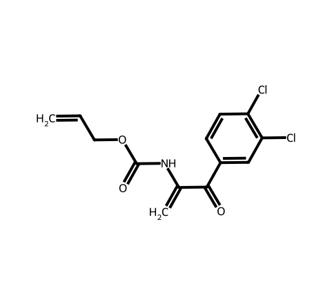 C=CCOC(=O)NC(=C)C(=O)c1ccc(Cl)c(Cl)c1